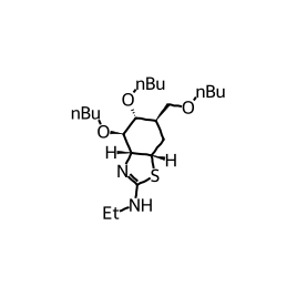 CCCCOC[C@H]1C[C@@H]2SC(NCC)=N[C@@H]2[C@@H](OCCCC)[C@@H]1OCCCC